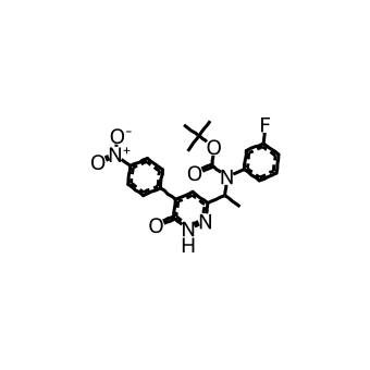 CC(c1cc(-c2ccc([N+](=O)[O-])cc2)c(=O)[nH]n1)N(C(=O)OC(C)(C)C)c1cccc(F)c1